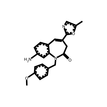 COc1ccc(CN2C(=O)CC(c3ncc(C)o3)=Cc3ccc(N)cc32)cc1